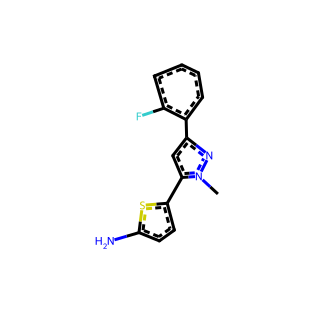 Cn1nc(-c2ccccc2F)cc1-c1ccc(N)s1